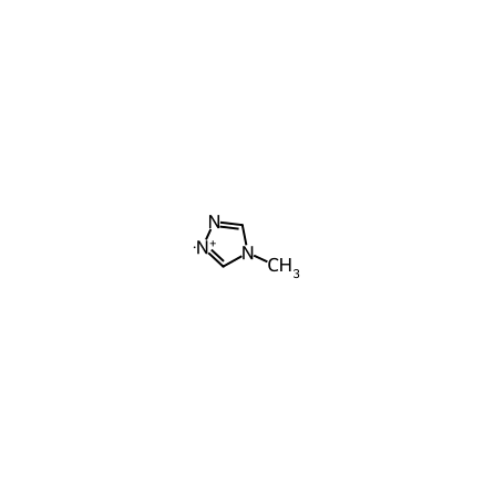 CN1C=N[N+]=C1